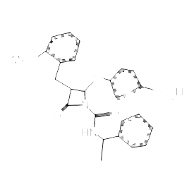 COc1ccccc1CC1C(=O)N(C(=O)NC(C)c2ccccc2)C1Oc1ccc(C(=O)O)cc1